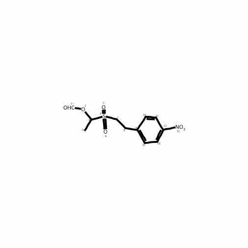 CC(O[C]=O)S(=O)(=O)CCc1ccc([N+](=O)[O-])cc1